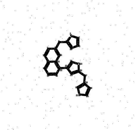 c1csc(Cc2ccc3cccc(-c4coc(Cc5ccsc5)c4)c3c2)c1